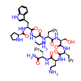 CC(C)C[C@H](NC(=O)[C@H](CCN)NC(=O)[C@H](CC(C)C)NC(=O)[C@H](CO)NC(=O)[C@H](CC(C)C)NC(=O)[C@H](CCN)NC(=O)[C@H](Cc1c[nH]c2ccccc12)NC(=O)[C@@H]1CCCN1)C(N)=O